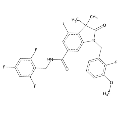 COc1cccc(CN2C(=O)C(C)(C)c3c(I)cc(C(=O)NCc4c(F)cc(F)cc4F)cc32)c1F